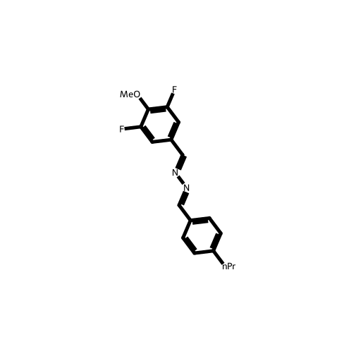 CCCc1ccc(C=NN=Cc2cc(F)c(OC)c(F)c2)cc1